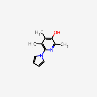 Cc1nc(-n2cccc2)c(C)c(C)c1O